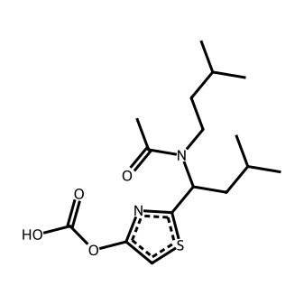 CC(=O)N(CCC(C)C)C(CC(C)C)c1nc(OC(=O)O)cs1